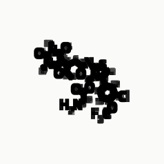 Cc1oc2c(c1CC(=O)N=c1scc(-c3ccc(OC(F)(F)F)c(Cl)c3)n1COC(=O)CN)c(=O)n(C)c(=O)n2C